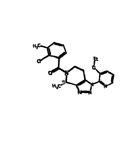 CCOc1cccnc1-n1nnc2c1CCN(C(=O)c1cccc(C)c1Cl)[C@H]2C